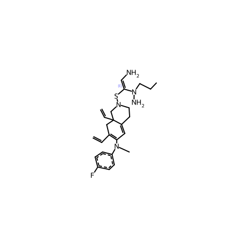 C=CC1=C(N(C)c2ccc(F)cc2)C=C2CCN(S/C(=C/N)N(N)CCC)CC2(C=C)C1